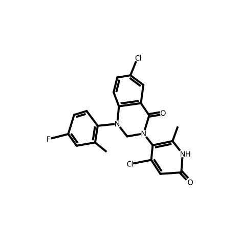 Cc1cc(F)ccc1N1CN(c2c(Cl)cc(=O)[nH]c2C)C(=O)c2cc(Cl)ccc21